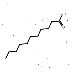 CCCCCCCCCCC([NH])=O